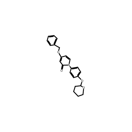 O=c1cc(OCc2ccccc2)ccn1-c1ccc(OC2CCCCO2)cc1